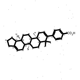 CC1(C)C(c2ccc(C(=O)O)cc2)=CC[C@@]2(C)C1CC[C@@]1(C)C3CC=C4CCCC4[C@H]3CCC12